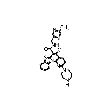 Cc1cnc(CNC(=O)c2c(=O)c3ccc(N4CCCNCC4)nc3n3c2sc2ccccc23)cn1